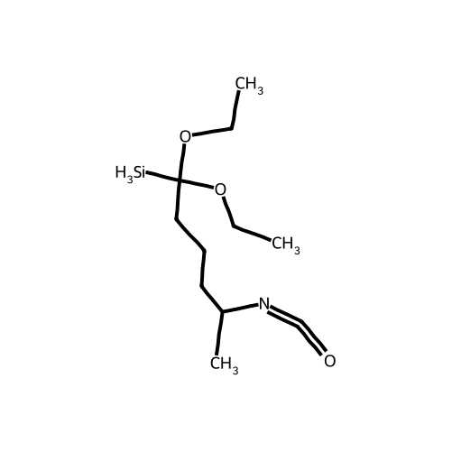 CCOC([SiH3])(CCCC(C)N=C=O)OCC